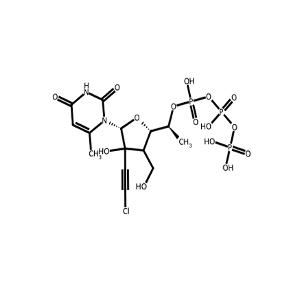 Cc1cc(=O)[nH]c(=O)n1[C@@H]1O[C@H]([C@H](C)OP(=O)(O)OP(=O)(O)OP(=O)(O)O)C(CO)C1(O)C#CCl